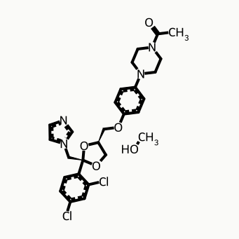 CC(=O)N1CCN(c2ccc(OC[C@H]3CO[C@](Cn4ccnc4)(c4ccc(Cl)cc4Cl)O3)cc2)CC1.CO